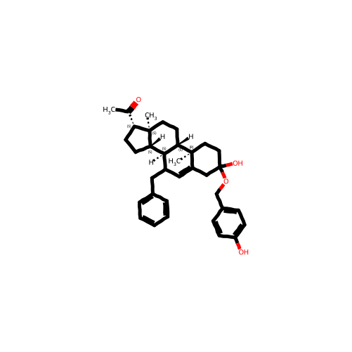 CC(=O)[C@H]1CC[C@H]2[C@@H]3C(Cc4ccccc4)C=C4CC(O)(OCc5ccc(O)cc5)CC[C@]4(C)[C@H]3CC[C@]12C